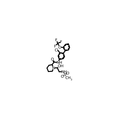 CS(=O)(=O)NCC(O)N1CCCCC1C(=O)Nc1ccc(-c2ccccc2OC(F)(F)F)c(Cl)c1